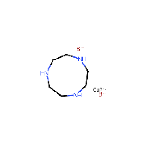 C1CNCCNCCN1.[Br-].[Br-].[Cu+2]